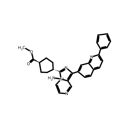 COC(=O)[C@H]1CC[C@H](C2=NC(c3ccc4ccc(-c5ccccc5)nc4c3)=C3C=NC=C[N+]32N)CC1